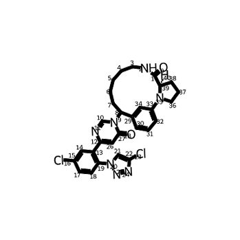 O=C1NCCCCCC(n2cnc(-c3cc(Cl)ccc3-n3cc(Cl)nn3)cc2=O)c2cccc(c2)N2CCC[C@H]12